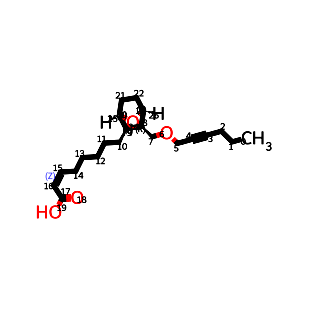 CCCC#CCOC[C@H]1[C@@H](CCCCC/C=C\C(=O)O)[C@H]2CC[C@@H]1O2